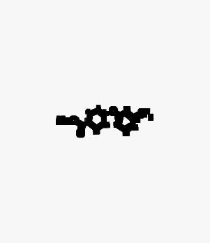 COC(=O)[C@H]1CC[C@H](Oc2cccc(C(F)(F)F)c2)CC1